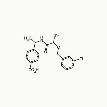 CC(NC(=O)C(OCc1cccc(Cl)c1)C(C)C)c1ccc(C(=O)O)cc1